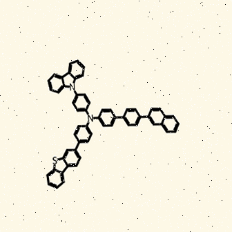 c1ccc2cc(-c3ccc(-c4ccc(N(c5ccc(-c6ccc7c(c6)sc6ccccc67)cc5)c5ccc(-n6c7ccccc7c7ccccc76)cc5)cc4)cc3)ccc2c1